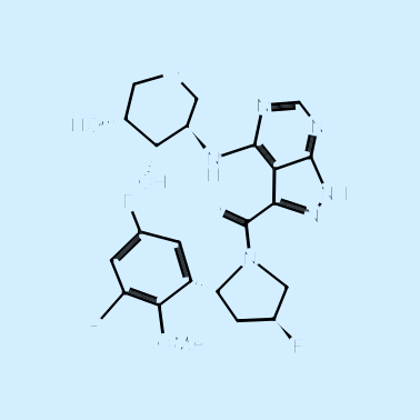 COc1c(F)cc(F)cc1[C@H]1C[C@H](F)CN1C(=O)c1n[nH]c2ncnc(N[C@@H]3COC[C@@H](O)[C@H]3O)c12